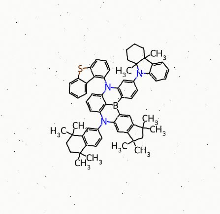 CC1(C)CCC(C)(C)c2cc(N3c4cc5c(cc4B4c6ccc(N7c8ccccc8C8(C)CCCCC78C)cc6N(c6cccc7sc8ccccc8c67)c6cccc3c64)C(C)(C)CC5(C)C)ccc21